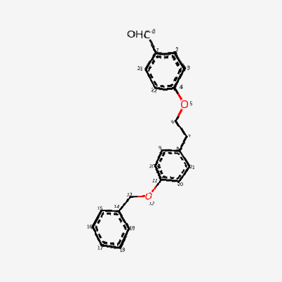 O=Cc1ccc(OCCc2ccc(OCc3ccccc3)cc2)cc1